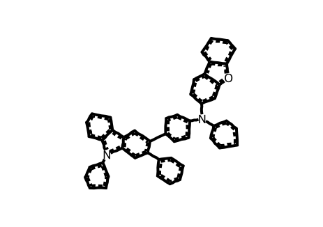 c1ccc(-c2cc3c(cc2-c2ccc(N(c4ccccc4)c4ccc5c(c4)oc4ccccc45)cc2)c2ccccc2n3-c2ccccc2)cc1